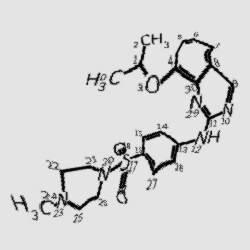 CC(C)Oc1cccc2cnc(Nc3ccc(S(=O)(=O)N4CCN(C)CC4)cc3)nc12